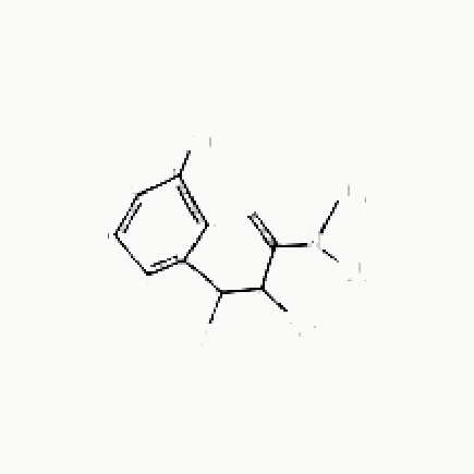 CCC(c1cccc(O)c1)C(C)C(=S)N(C)C